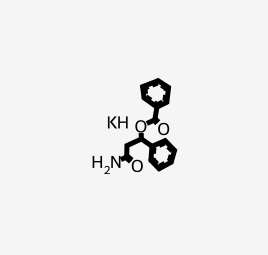 NC(=O)CC(OC(=O)c1ccccc1)c1ccccc1.[KH]